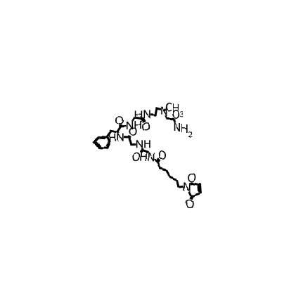 CN(CCNC(=O)CNC(=O)C(Cc1ccccc1)NC(=O)CNC(=O)CNC(=O)CCCCCN1C(=O)C=CC1=O)CC(N)=O